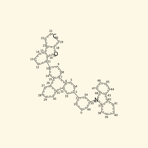 c1cc(-c2ccc3c4ccc(-c5cccc6c5oc5ccccc56)cc4c4ccccc4c3c2)cc(-n2c3ccccc3c3ccccc32)c1